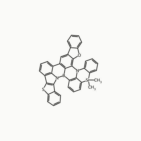 C[Si]1(C)c2ccccc2N2c3c(cccc31)B1c3c(cc4c(oc5ccccc54)c32)-c2cccc3c4sc5ccccc5c4n1c23